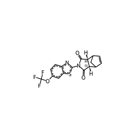 O=C1[C@@H]2C3C=CC(C3)[C@@H]2C(=O)N1c1nc2ccc(OC(F)(F)F)cc2s1